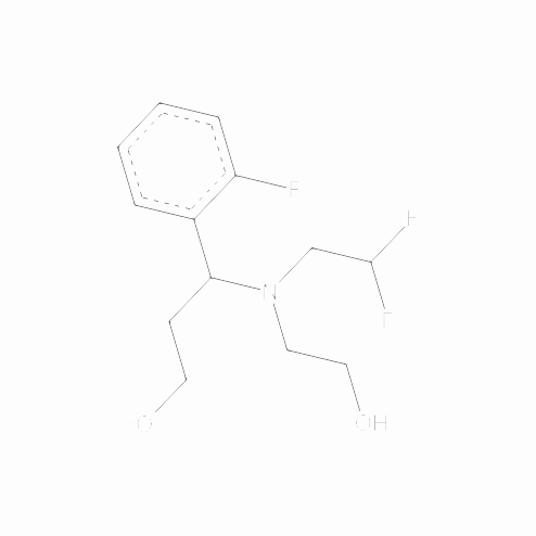 [O]CCC(c1ccccc1F)N(CCO)CC(F)F